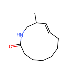 CC1/C=C/CCCCCCC(=O)NC1